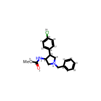 COC(=O)NC1CN(Cc2ccccc2)CC1c1ccc(Cl)cc1